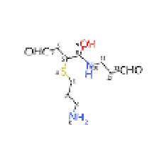 NCCCSC(CC=O)C(O)NCCC=O